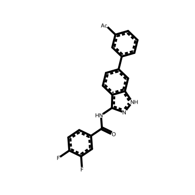 CC(=O)c1cccc(-c2ccc3c(NC(=O)c4ccc(F)c(F)c4)n[nH]c3c2)c1